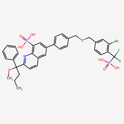 CCCC(OC)(c1ccccc1)c1ccc2cc(-c3ccc(CSCc4ccc(C(F)(F)P(=O)(O)O)c(Br)c4)cc3)cc(P(=O)(O)O)c2n1